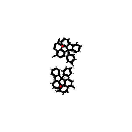 Cc1ccc2c(C)ccc(C3(c4ccc(Oc5ccc(C6(c7ccc(C)c8ccc(C)cc78)c7ccccc7-c7ccccc76)cc5)cc4)c4ccccc4-c4ccccc43)c2c1